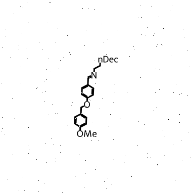 CCCCCCCCCCCC/N=C/c1ccc(OCc2ccc(OC)cc2)cc1